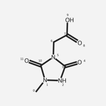 Cn1[nH]c(=O)n(CC(=O)O)c1=O